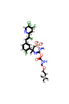 CN1C(OC(=O)NCOCC[Si](C)(C)C)=NC(C)(c2cc(C=C(F)c3cc(F)c(Cl)cn3)ccc2F)CS1(=O)=O